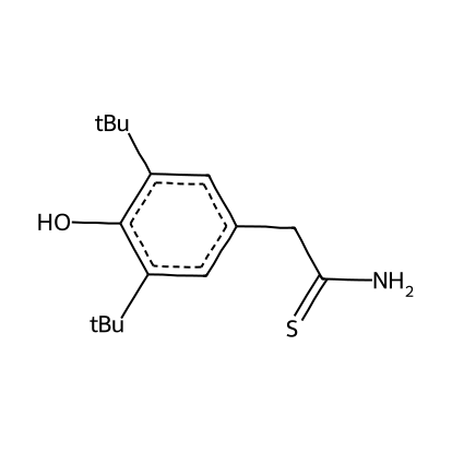 CC(C)(C)c1cc(CC(N)=S)cc(C(C)(C)C)c1O